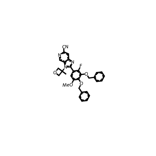 COc1cc(-c2nc3cc(C#N)ncc3n2C2(C)COC2)c(F)c(OCc2ccccc2)c1OCc1ccccc1